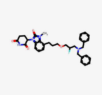 Cn1c(=O)n(C2CCC(=O)NC2=O)c2cccc(CCCOCC(F)CN(Cc3ccccc3)Cc3ccccc3)c21